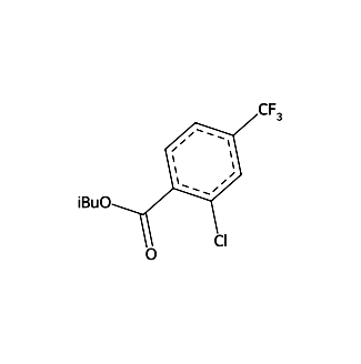 CC(C)COC(=O)c1ccc(C(F)(F)F)cc1Cl